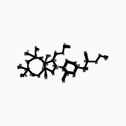 CSCO[C@@H]1[C@@H]2O[Si](C(C)C)(C(C)C)O[Si](C(C)C)(C(C)C)OC[C@H]2O[C@H]1n1ccc(NC(=O)CCC(C)=O)nc1=O